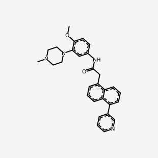 COc1ccc(NC(=O)Cc2cccc3c(-c4cccnc4)cccc23)cc1N1CCN(C)CC1